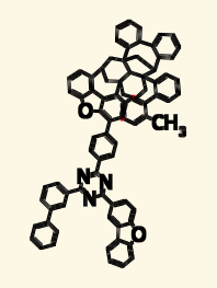 Cc1ccccc1-c1ccccc1C12CCCC34CC(CC5(CC1c1ccccc1-c1ccccc15)C32)c1cccc2oc3c(-c5ccc(-c6nc(-c7cccc(-c8ccccc8)c7)nc(-c7ccc8oc9ccccc9c8c7)n6)cc5)ccc4c3c12